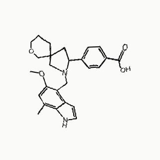 COc1cc(C)c2[nH]ccc2c1CN1CC2(CCCOC2)CC1c1ccc(C(=O)O)cc1